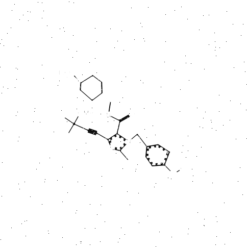 COC(C)(C)C#Cc1nc(Cl)n(Cc2ccc(OC(F)(F)F)cc2)c1C(=O)NC[C@H]1CC[C@H](C(=O)O)CC1